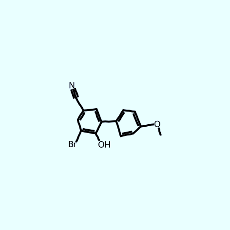 COc1ccc(-c2cc(C#N)cc(Br)c2O)cc1